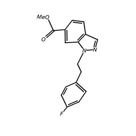 COC(=O)c1ccc2cnn(CCc3ccc(F)cc3)c2c1